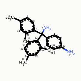 Cc1ccc(C(N)(c2ccc(N)cc2)c2ccc(C)cc2C)c(C)c1